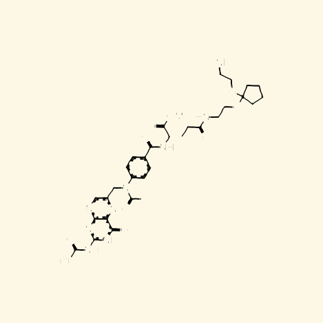 COC(=O)[C@H](CCC(=O)NCCOC1(OCCN)CCCC1)NC(=O)c1ccc(N(Cc2cnc3nc(NC(=O)C(C)C)[nH]c(=O)c3n2)C(=O)C(F)(F)F)cc1